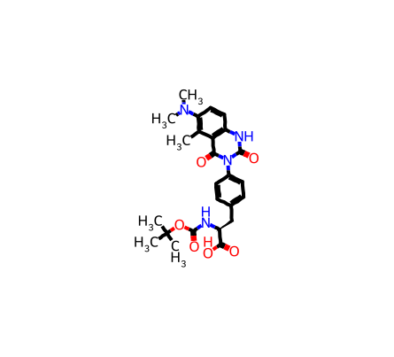 Cc1c(N(C)C)ccc2[nH]c(=O)n(-c3ccc(C[C@H](NC(=O)OC(C)(C)C)C(=O)O)cc3)c(=O)c12